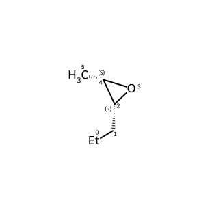 CCC[C@H]1O[C@H]1C